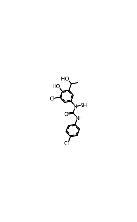 CC(O)c1cc(N(S)C(=O)Nc2ccc(Cl)cc2)cc(Cl)c1O